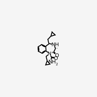 NC(=O)[N+]1(CC2CC2)C(=O)[CH]NC(CC2CC2)c2ccccc21